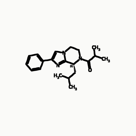 CC(C)C[C@@H]1c2nc(-c3ccccc3)cn2CCN1C(=O)C(C)C